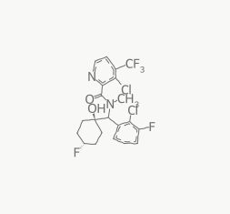 CN(C(=O)c1nccc(C(F)(F)F)c1Cl)C(c1cccc(F)c1Cl)[C@]1(O)CC[C@H](F)CC1